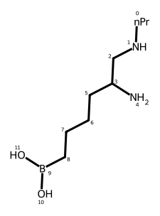 CCCNCC(N)CCCCB(O)O